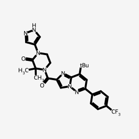 CC(C)(C)c1cc(-c2ccc(C(F)(F)F)cc2)nn2cc(C(=O)N3CCN(c4cn[nH]c4)C(=O)C3(C)C)nc12